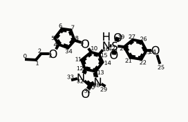 CCCOc1cccc(Oc2cc3c(cc2NS(=O)(=O)c2ccc(OC)cc2)n(C)c(=O)n3C)c1